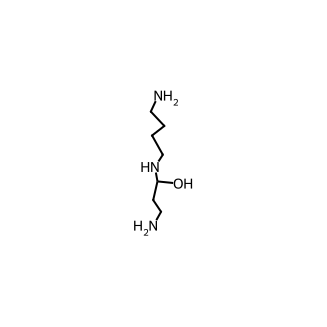 NCCCCNC(O)CCN